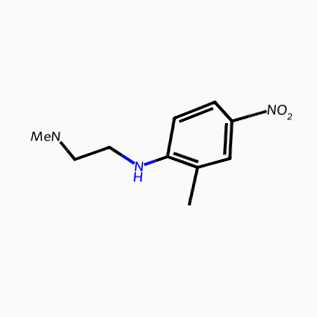 CNCCNc1ccc([N+](=O)[O-])cc1C